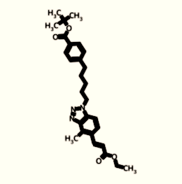 CCOC(=O)/C=C/c1ccc2c(nnn2CCCCCc2ccc(C(=O)OC(C)(C)C)cc2)c1C